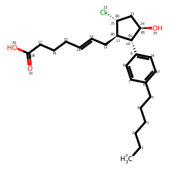 CCCCCCc1ccc([C@@H]2[C@@H](CC=CCCCC(=O)O)[C@H](Cl)C[C@H]2O)cc1